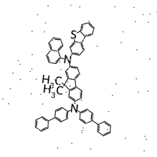 CC1(C)c2cc(N(c3ccc(-c4ccccc4)cc3)c3ccc(-c4ccccc4)cc3)ccc2-c2ccc(N(c3ccc4c(c3)sc3ccccc34)c3cccc4ccccc34)cc21